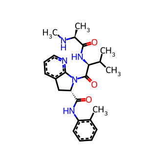 CN[C@@H](C)C(=O)N[C@H](C(=O)N1c2ncccc2C[C@H]1C(=O)Nc1ccccc1C)C(C)C